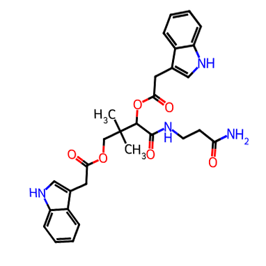 CC(C)(COC(=O)Cc1c[nH]c2ccccc12)C(OC(=O)Cc1c[nH]c2ccccc12)C(=O)NCCC(N)=O